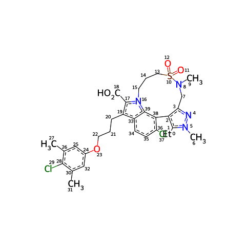 CCc1c2c(nn1C)CN(C)S(=O)(=O)CCCn1c(C(=O)O)c(CCCOc3cc(C)c(Cl)c(C)c3)c3ccc(Cl)c-2c31